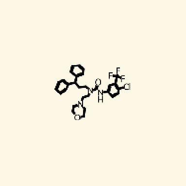 O=C(Nc1ccc(Cl)c(C(F)(F)F)c1)N(CCC(c1ccccc1)c1ccccc1)CCN1CCOCC1